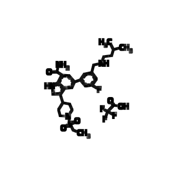 CCS(=O)(=O)N1CCC(c2c[nH]c3c(C(N)=O)cc(-c4cc(F)cc(CNCCC(C)C)c4)cc23)CC1.O=C(O)C(F)(F)F